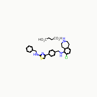 Clc1ccc2c(c1NCc1ccc(-c3csc(NCc4ccccc4)n3)cc1)CCNCC2.O=C(O)CCC(=O)O